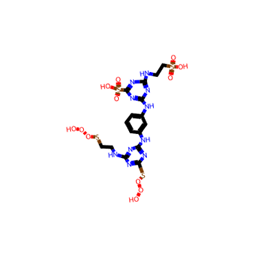 O=S(=O)(O)CCNc1nc(Nc2cccc(Nc3nc(NCCSOOO)nc(SOOO)n3)c2)nc(S(=O)(=O)O)n1